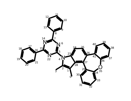 Cc1c(C)n(-c2nc(-c3ccccc3)nc(-c3ccccc3)n2)c2ccc3c(c12)-c1ccccc1Oc1ccccc1-3